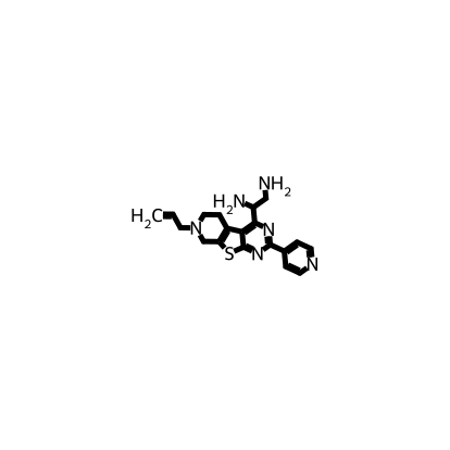 C=CCN1CCc2c(sc3nc(-c4ccncc4)nc(C(N)CN)c23)C1